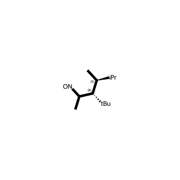 CC(N=O)[C@H]([C@@H](C)C(C)C)C(C)(C)C